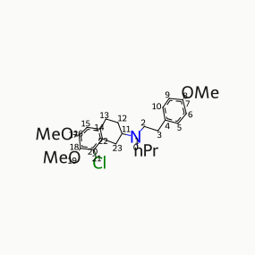 CCCN(CCc1ccc(OC)cc1)C1CCc2cc(OC)c(OC)c(Cl)c2C1